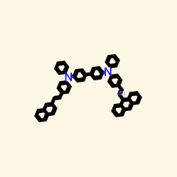 C(=Cc1ccc2ccccc2c1)c1ccc(N(c2ccccc2)c2ccc(-c3ccc(N(c4ccccc4)c4ccc(/C=C/c5c6ccccc6cc6ccccc56)cc4)cc3)cc2)cc1